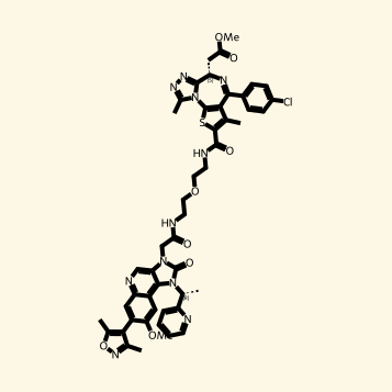 COC(=O)C[C@@H]1N=C(c2ccc(Cl)cc2)c2c(sc(C(=O)NCCOCCNC(=O)Cn3c(=O)n([C@H](C)c4ccccn4)c4c5cc(OC)c(-c6c(C)noc6C)cc5ncc43)c2C)-n2c(C)nnc21